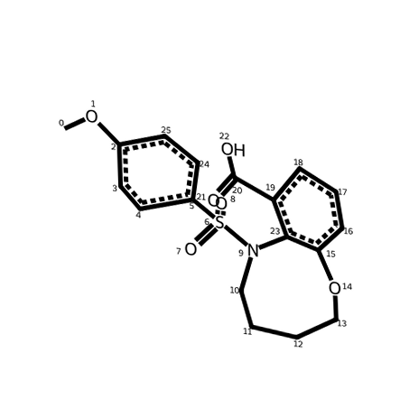 COc1ccc(S(=O)(=O)N2CCCCOc3cccc(C(=O)O)c32)cc1